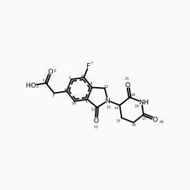 O=C(O)Cc1cc(F)c2c(c1)C(=O)N(C1CCC(=O)NC1=O)C2